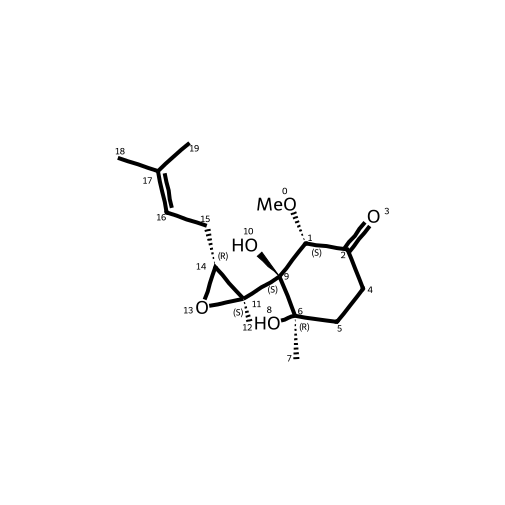 CO[C@@H]1C(=O)CC[C@@](C)(O)[C@]1(O)[C@@]1(C)O[C@@H]1CC=C(C)C